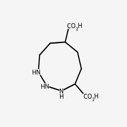 O=C(O)C1CCNNNC(C(=O)O)CC1